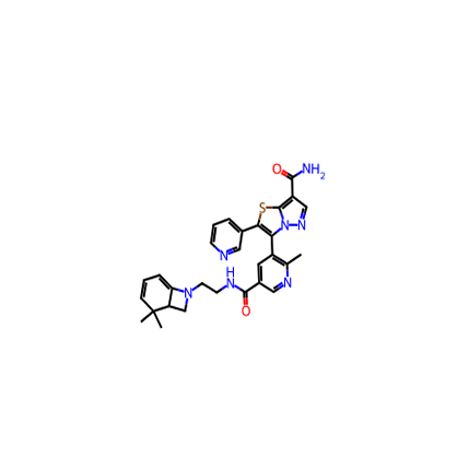 Cc1ncc(C(=O)NCCN2CC3C2=CC=CC3(C)C)cc1-c1c(-c2cccnc2)sc2c(C(N)=O)cnn12